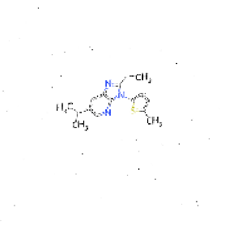 CCc1nc2cc(C(C)C)cnc2n1-c1ccc(C)s1